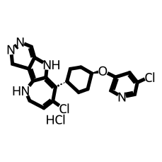 Cl.ClC1=CCNc2c3c([nH]c2=C1[C@H]1CC[C@H](Oc2cncc(Cl)c2)CC1)=CN=NC3